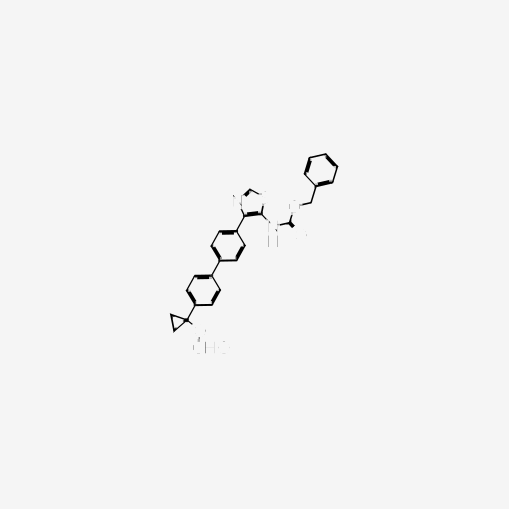 O=COC1(c2ccc(-c3ccc(-c4ncsc4NC(=O)OCc4ccccc4)cc3)cc2)CC1